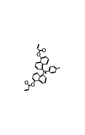 C=CC(=O)Oc1cccc2c(N(c3ccc(C)cc3)c3cccc4c(OC(=O)C=C)cccc34)cccc12